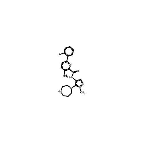 Cn1ncc(NC(=O)c2nc(-c3ccccc3F)ccc2N)c1N1CCCNCC1